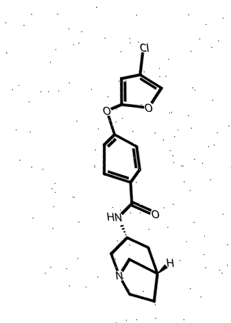 O=C(N[C@@H]1C[C@@H]2CCN(C2)C1)c1ccc(Oc2cc(Cl)co2)cc1